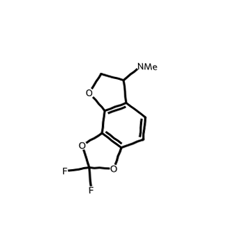 CNC1COc2c1ccc1c2OC(F)(F)O1